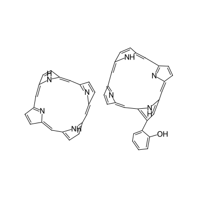 C1=Cc2cc3ccc(cc4nc(cc5ccc(cc1n2)[nH]5)C=C4)[nH]3.Oc1ccccc1-c1cc2cc3nc(cc4ccc(cc5nc(cc1[nH]2)C=C5)[nH]4)C=C3